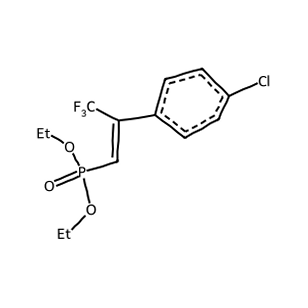 CCOP(=O)(C=C(c1ccc(Cl)cc1)C(F)(F)F)OCC